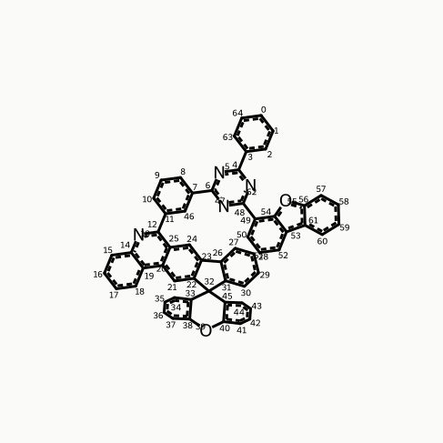 c1ccc(-c2nc(-c3cccc(-c4nc5ccccc5c5cc6c(cc45)-c4ccccc4C64c5ccccc5Oc5ccccc54)c3)nc(-c3cccc4c3oc3ccccc34)n2)cc1